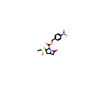 CC[S+]([O-])C1(Cl)CC2CC(=O)N2[C@@H]1C(=O)OCc1ccc([N+](=O)[O-])cc1